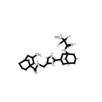 CC1CC2CCCC(C(=O)OCC3COC(C4CC5CCCC(OC(=O)C(F)(F)S(=O)(=O)O)(C5)C4)O3)(C1)C2